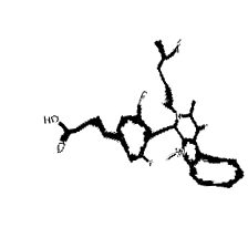 C=C(F)CCCN1C(C)Cc2c([nH]c3ccccc23)C1c1c(F)cc(/C=C/C(=O)O)cc1F